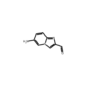 Nc1ccc2nc(C=O)cn2c1